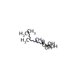 C/C(=C\CCC(=O)OC[C@H](O)[C@H](O)CO)CCCC(C)CCCC(C)C